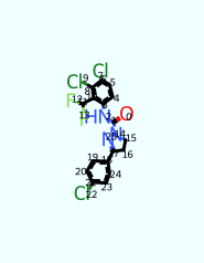 O=C(Nc1ccc(Cl)c(Cl)c1C(F)F)N1CCC(c2ccc(Cl)cc2)=N1